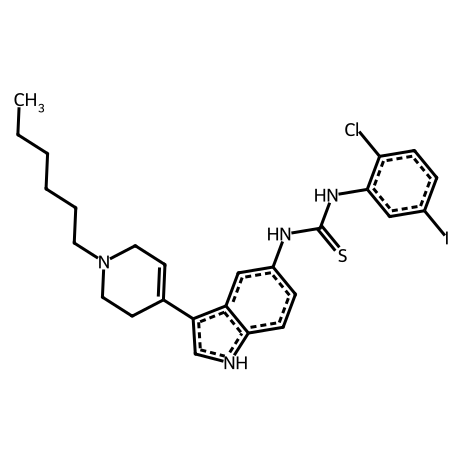 CCCCCCN1CC=C(c2c[nH]c3ccc(NC(=S)Nc4cc(I)ccc4Cl)cc23)CC1